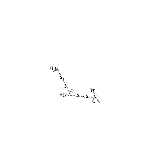 C=CCN(CCN(C)C)C(=O)CCSCCCSCCCN(CCO)C(=O)CCSCCCSCCCN